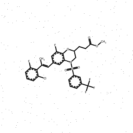 COC(=O)CCC1CN(S(=O)(=O)c2cccc(C(F)(F)F)c2)c2cc(/C=C(\C)c3c(F)cccc3Cl)cc(F)c2O1